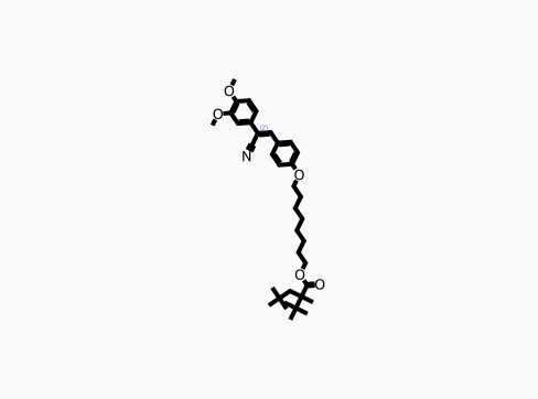 COc1ccc(/C(C#N)=C/c2ccc(OCCCCCCCCOC(=O)C(C)(CC(C)(C)C)C(C)(C)C)cc2)cc1OC